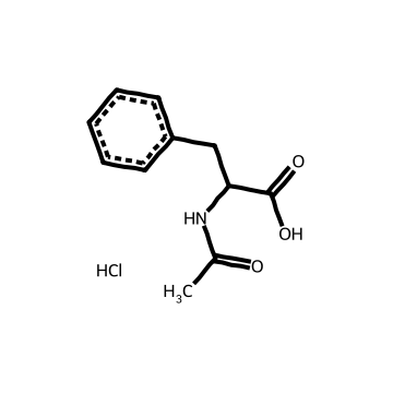 CC(=O)NC(Cc1ccccc1)C(=O)O.Cl